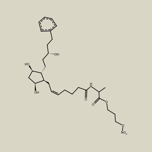 CC(NC(=O)CCC/C=C\C[C@@H]1[C@@H](CC[C@@H](O)CCc2ccccc2)[C@H](O)C[C@@H]1O)C(=O)OCCCO[N+](=O)[O-]